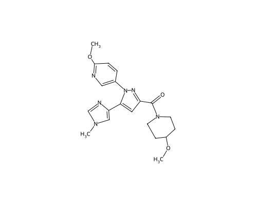 COc1ccc(-n2nc(C(=O)N3CCC(OC)CC3)cc2-c2cn(C)cn2)cn1